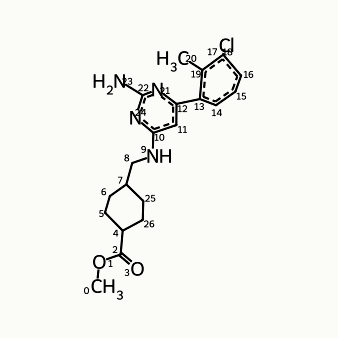 COC(=O)C1CCC(CNc2cc(-c3cccc(Cl)c3C)nc(N)n2)CC1